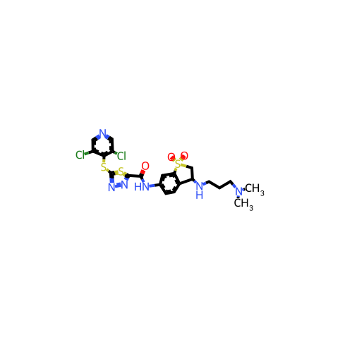 CN(C)CCCNC1CS(=O)(=O)c2cc(NC(=O)c3nnc(Sc4c(Cl)cncc4Cl)s3)ccc21